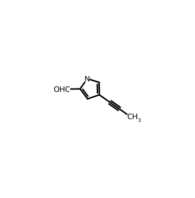 CC#CC1=C[N]C(C=O)=C1